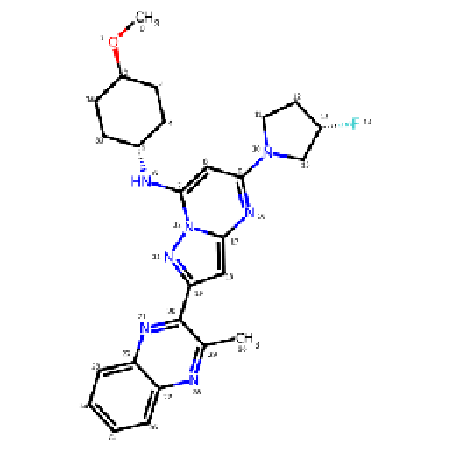 CO[C@H]1CC[C@H](Nc2cc(N3CC[C@H](F)C3)nc3cc(-c4nc5ccccc5nc4C)nn23)CC1